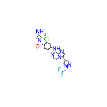 NC1CN(C(=O)c2ccc(Nc3nccn4c(-c5cnn(CC(F)F)c5)cnc34)cc2Cl)C1